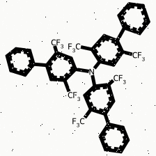 FC(F)(F)c1cc(N(c2cc(C(F)(F)F)c(-c3ccccc3)cc2C(F)(F)F)c2cc(C(F)(F)F)c(-c3ccccc3)cc2C(F)(F)F)c(C(F)(F)F)cc1-c1ccccc1